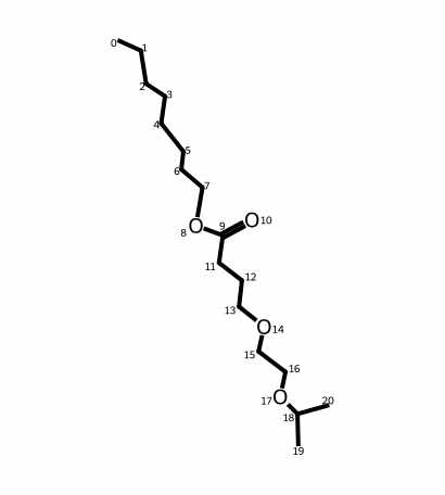 CCCCCCCCOC(=O)CCCOCCOC(C)C